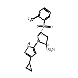 O=C(O)[C@@H]1C[C@@H](S(=O)(=O)c2ccccc2C(F)(F)F)CN1c1cc(C2CC2)n[nH]1